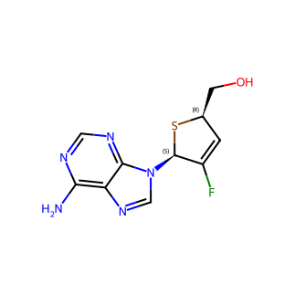 Nc1ncnc2c1ncn2[C@H]1S[C@@H](CO)C=C1F